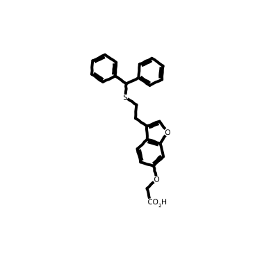 O=C(O)COc1ccc2c(CCSC(c3ccccc3)c3ccccc3)coc2c1